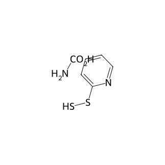 NC(=O)O.SSc1ccccn1